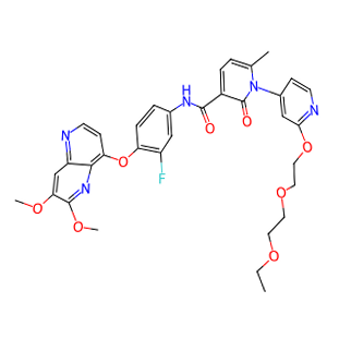 CCOCCOCCOc1cc(-n2c(C)ccc(C(=O)Nc3ccc(Oc4ccnc5cc(OC)c(OC)nc45)c(F)c3)c2=O)ccn1